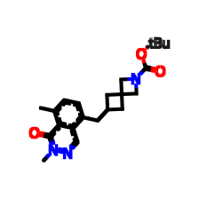 Cc1ccc(CC2CC3(C2)CN(C(=O)OC(C)(C)C)C3)c2cnn(C)c(=O)c12